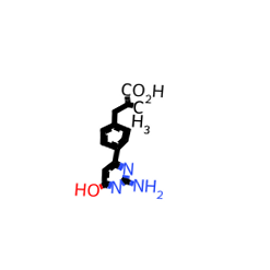 CC(Cc1ccc(-c2cc(O)nc(N)n2)cc1)C(=O)O